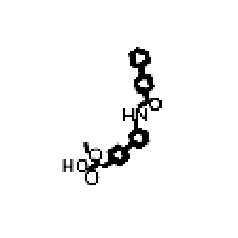 CCO[C@@H](Cc1ccc(-c2cccc(CNCC(=O)c3ccc(-c4ccccc4)cc3)c2)cc1)C(=O)O